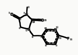 CN1C(=O)CN(Cc2ccc(F)nc2)C1=O